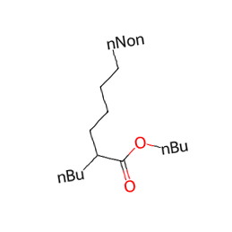 CCCCCCCCCCCCCC(CCCC)C(=O)OCCCC